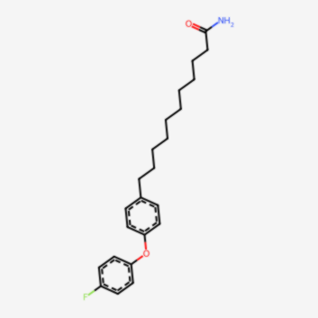 NC(=O)CCCCCCCCCCc1ccc(Oc2ccc(F)cc2)cc1